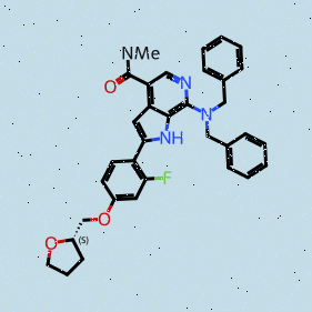 CNC(=O)c1cnc(N(Cc2ccccc2)Cc2ccccc2)c2[nH]c(-c3ccc(OC[C@@H]4CCCO4)cc3F)cc12